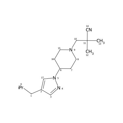 CC(C)Cc1cnn(C2CCN(CC(C)(C)C#N)CC2)c1